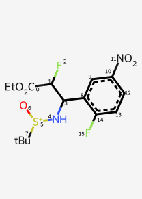 CCOC(=O)C(F)C(N[S+]([O-])C(C)(C)C)c1cc([N+](=O)[O-])ccc1F